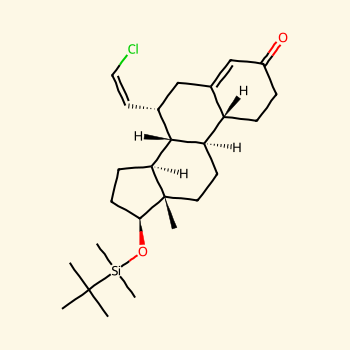 CC(C)(C)[Si](C)(C)O[C@H]1CC[C@H]2[C@H]3[C@H](CC[C@]12C)[C@H]1CCC(=O)C=C1C[C@H]3/C=C\Cl